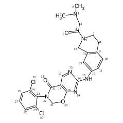 CN(C)CC(=O)N1CCc2ccc(Nc3ncc4c(n3)OCN(c3c(Cl)cccc3Cl)C4=O)cc2C1